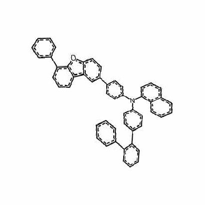 c1ccc(-c2ccccc2-c2ccc(N(c3ccc(-c4ccc5oc6c(-c7ccccc7)cccc6c5c4)cc3)c3cccc4ccccc34)cc2)cc1